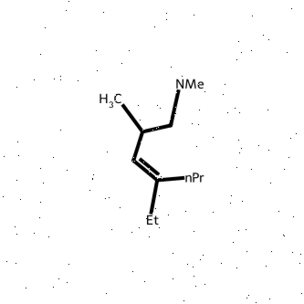 CCC/C(=C\C(C)CNC)CC